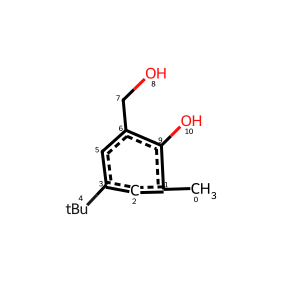 Cc1cc(C(C)(C)C)cc(CO)c1O